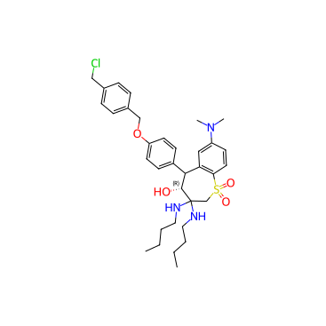 CCCCNC1(NCCCC)CS(=O)(=O)c2ccc(N(C)C)cc2C(c2ccc(OCc3ccc(CCl)cc3)cc2)[C@H]1O